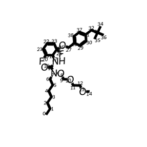 CCCCCCCN(OCOCCOC)C(=O)NC1C(F)=CC=CC1(F)OCc1ccc(CC(C)(C)C)cc1